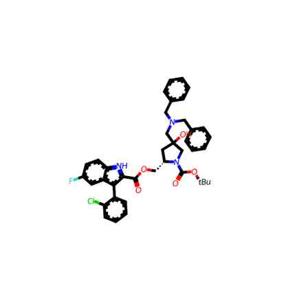 CC(C)(C)OC(=O)N1CC(O)(CN(Cc2ccccc2)Cc2ccccc2)C[C@H]1COC(=O)c1[nH]c2ccc(F)cc2c1-c1ccccc1Cl